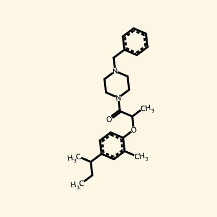 CCC(C)c1ccc(OC(C)C(=O)N2CCN(Cc3ccccc3)CC2)c(C)c1